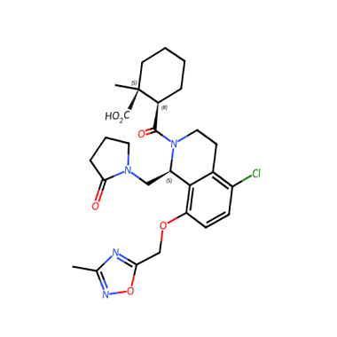 Cc1noc(COc2ccc(Cl)c3c2[C@@H](CN2CCCC2=O)N(C(=O)[C@@H]2CCCC[C@]2(C)C(=O)O)CC3)n1